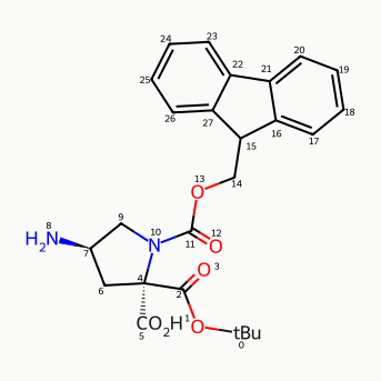 CC(C)(C)OC(=O)[C@@]1(C(=O)O)C[C@@H](N)CN1C(=O)OCC1c2ccccc2-c2ccccc21